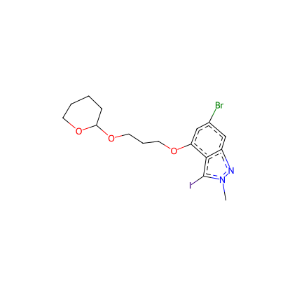 Cn1nc2cc(Br)cc(OCCCOC3CCCCO3)c2c1I